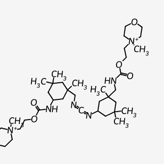 CC1(C)CC(N=C=NCC2(C)CC(NC(=O)OCC[N+]3(C)CCOCC3)CC(C)(C)C2)CC(C)(CNC(=O)OCC[N+]2(C)CCOCC2)C1